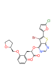 O=C(O)[C@@H](Cc1ccccc1OC[C@@H]1CCCO1)Oc1ncnc2sc(-c3ccc(Cl)o3)c(Br)c12